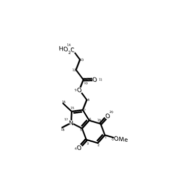 COC1=CC(=O)c2c(c(COC(=O)CCC(=O)O)c(C)n2C)C1=O